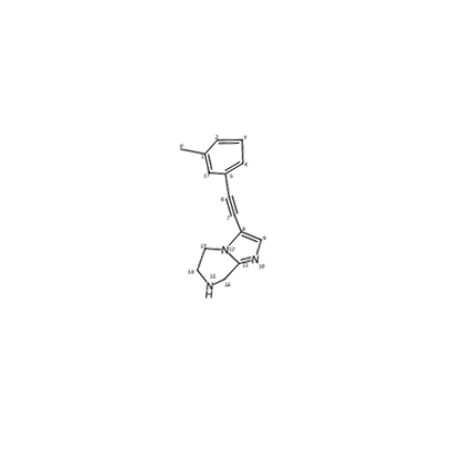 Cc1cccc(C#Cc2cnc3n2CCNC3)c1